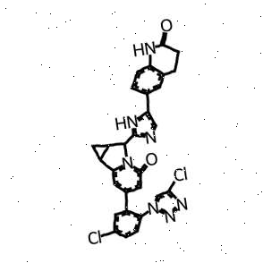 O=C1CCc2cc(-c3cnc(C4C5CC5c5cc(-c6cc(Cl)ccc6-n6cc(Cl)nn6)cc(=O)n54)[nH]3)ccc2N1